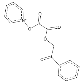 O=C(OCC(=O)c1ccccc1)C(=O)O[n+]1ccccc1